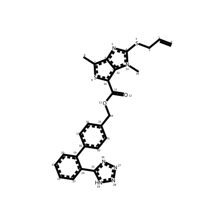 C=CCSc1nc2c(C)sc(C(=O)OCc3ccc(-c4ccccc4-c4nnn[nH]4)cc3)c2n1C